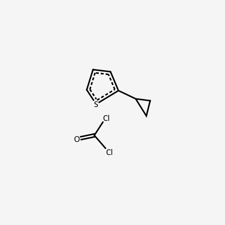 O=C(Cl)Cl.c1csc(C2CC2)c1